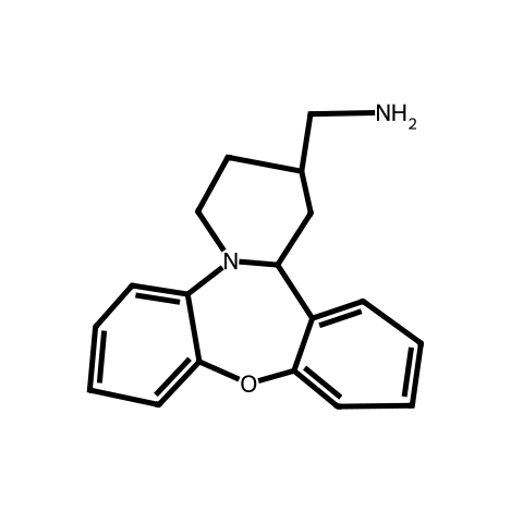 NCC1CCN2c3ccccc3Oc3ccccc3C2C1